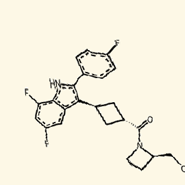 O=C([C@H]1C[C@H](c2c(-c3ccc(F)cc3)[nH]c3c(F)cc(F)cc32)C1)N1CC[C@@H]1CO